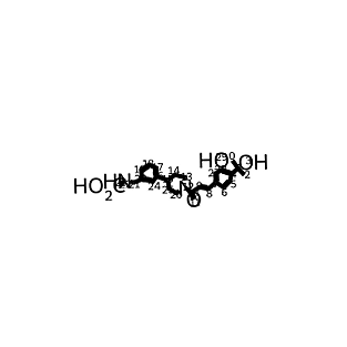 CC(C)(O)c1ccc(C=CC(=O)N2CCC(c3cccc(CNC(=O)O)c3)CC2)cc1O